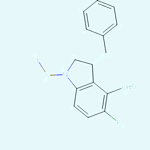 O=Cc1c(F)ccc2c1[C@@H](Cc1ccccc1)CN2SI